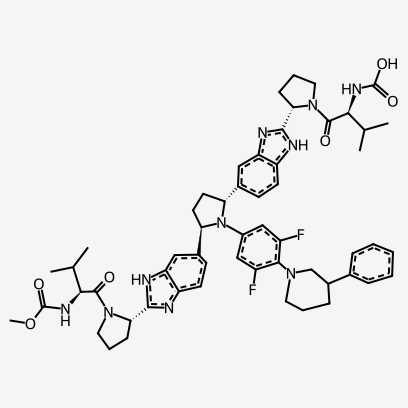 COC(=O)N[C@H](C(=O)N1CCC[C@H]1c1nc2ccc([C@H]3CC[C@H](c4ccc5[nH]c([C@@H]6CCCN6C(=O)[C@@H](NC(=O)O)C(C)C)nc5c4)N3c3cc(F)c(N4CCCC(c5ccccc5)C4)c(F)c3)cc2[nH]1)C(C)C